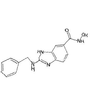 O=C(NO)c1ccc2nc(NCc3ccccc3)[nH]c2c1